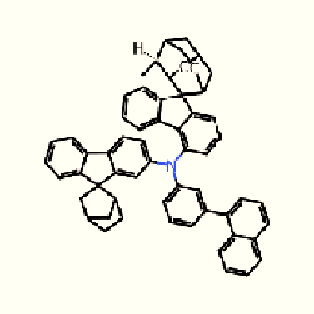 C[C@H]1C2CCC3CC(C2)CC1C31c2ccccc2-c2c(N(c3cccc(-c4cccc5ccccc45)c3)c3ccc4c(c3)C3(CC5CCC3C5)c3ccccc3-4)cccc21